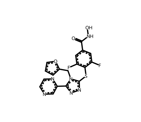 O=C(NO)c1cc(F)c(Sc2nnc(-c3cnccn3)n2Cc2ccco2)c(F)c1